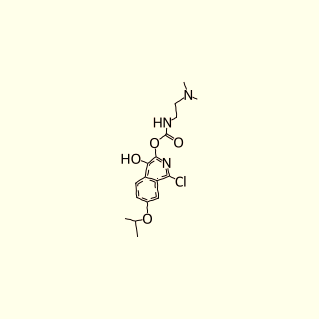 CC(C)Oc1ccc2c(O)c(OC(=O)NCCN(C)C)nc(Cl)c2c1